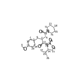 COc1ccc(CC(CC(=O)N2CCCCC2)C(=O)N2C(=O)OCC2C(C)C)cc1